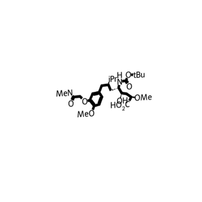 CNC(=O)COc1cc(C[C@@H](C[C@H](NC(=O)OC(C)(C)C)[C@@H](O)C[C@@H](OC)C(=O)O)C(C)C)ccc1OC